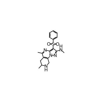 CNc1nn2c3c(c(C)nc2c1S(=O)(=O)c1ccccc1)CC(C)NC3